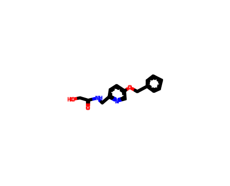 O=C(CO)NCc1ccc(OCc2ccccc2)cn1